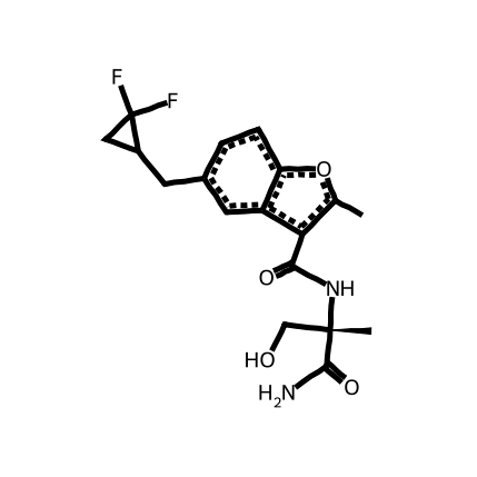 Cc1oc2ccc(CC3CC3(F)F)cc2c1C(=O)N[C@@](C)(CO)C(N)=O